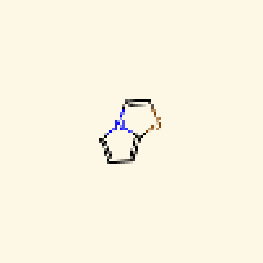 c1cc2sccn2c1